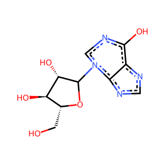 OC[C@H]1OC(n2cnc(O)c3ncnc2-3)[C@@H](O)[C@@H]1O